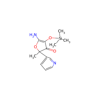 CC1(c2cccnc2)OC(N)=C(O[Si](C)(C)C)C1=O